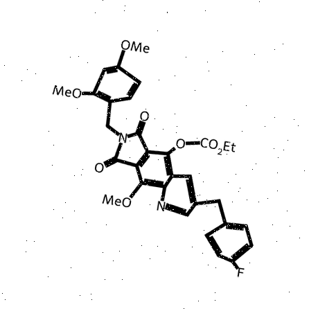 CCOC(=O)Oc1c2c(c(OC)c3ncc(Cc4ccc(F)cc4)cc13)C(=O)N(Cc1ccc(OC)cc1OC)C2=O